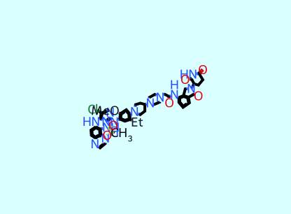 CCc1cc(Nc2ncc(Cl)c(Nc3ccc4nccnc4c3NS(C)(=O)=O)n2)c(OC)cc1N1CCC(N2CCN(CC(=O)Nc3cccc4c3CN(C3CCC(=O)NC3=O)C4=O)CC2)CC1